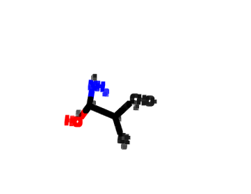 CCC([C]=O)C(N)O